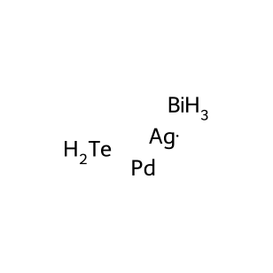 [Ag].[BiH3].[Pd].[TeH2]